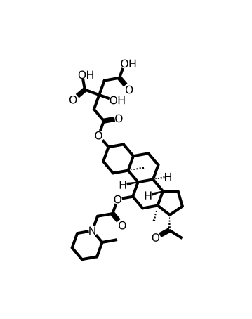 CC(=O)[C@H]1CC[C@H]2[C@@H]3CCC4CC(OC(=O)CC(O)(CC(=O)O)C(=O)O)CC[C@]4(C)[C@H]3C(OC(=O)CN3CCCCC3C)C[C@]12C